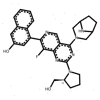 OC[C@@H]1CCCN1c1nc(N2CC3CCC(C2)N3)c2cnc(-c3cc(O)cc4ccccc34)c(F)c2n1